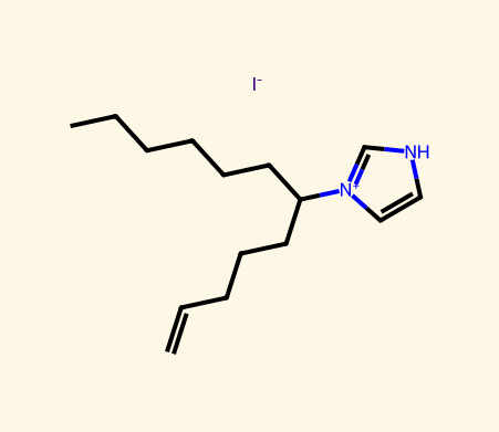 C=CCCCC(CCCCCC)[n+]1cc[nH]c1.[I-]